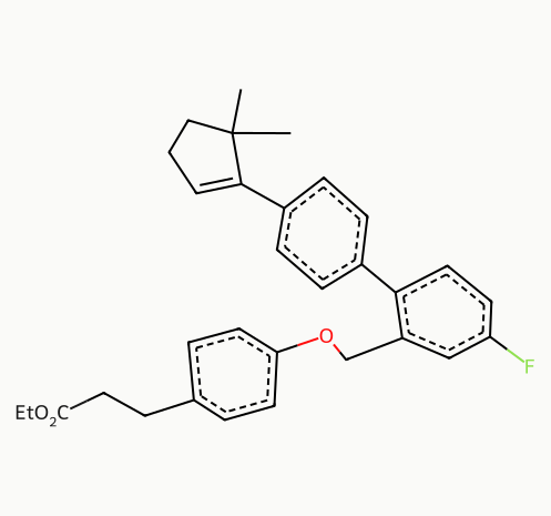 CCOC(=O)CCc1ccc(OCc2cc(F)ccc2-c2ccc(C3=CCCC3(C)C)cc2)cc1